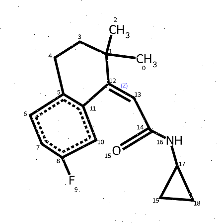 CC1(C)CCc2ccc(F)cc2/C1=C\C(=O)NC1CC1